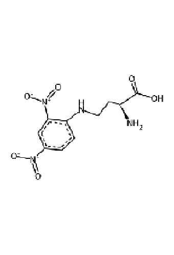 N[C@@H](CCNc1ccc([N+](=O)[O-])cc1[N+](=O)[O-])C(=O)O